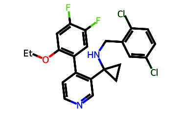 CCOc1cc(F)c(F)cc1-c1ccncc1C1(NCc2cc(Cl)ccc2Cl)CC1